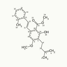 C=C(C)CCc1c(OC)cc(C=Cc2ccccc2C)c(C(=O)OC)c1O